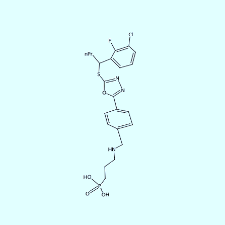 CCCC(Sc1nnc(-c2ccc(CNCCCP(=O)(O)O)cc2)o1)c1cccc(Cl)c1F